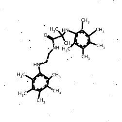 Cc1c(C)c(C)c(NCCNC(=O)C(C)(C)Nc2c(C)c(C)c(C)c(C)c2C)c(C)c1C